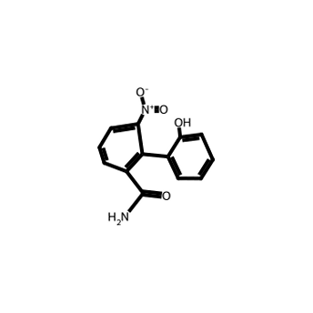 NC(=O)c1cccc([N+](=O)[O-])c1-c1ccccc1O